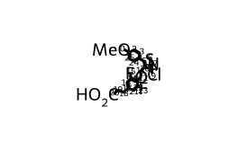 COc1ccc(-c2snc(Cl)c2COc2c(F)cc(CCC(=O)O)cc2F)cc1